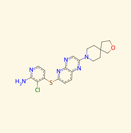 Nc1nccc(Sc2ccc3nc(N4CCC5(CCOC5)CC4)cnc3n2)c1Cl